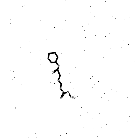 CCCCOC(=O)CCCCC(=O)OC1CCCCC1